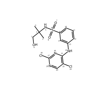 CC(C)(CO)NS(=O)(=O)c1cccc(Nc2nc(Cl)ncc2Cl)c1